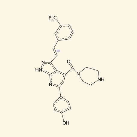 O=C(c1cc(-c2ccc(O)cc2)nc2[nH]nc(/C=C/c3cccc(C(F)(F)F)c3)c12)N1CCNCC1